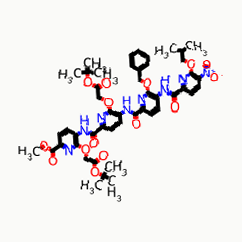 COC(=O)c1ccc(NC(=O)c2ccc(NC(=O)c3ccc(NC(=O)c4ccc([N+](=O)[O-])c(OCC(C)C)n4)c(OCc4ccccc4)n3)c(OCC(=O)OC(C)(C)C)n2)c(OCC(=O)OC(C)(C)C)n1